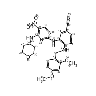 COc1ccc(CNc2ccc(C#N)cc2Nc2ncc([N+](=O)[O-])c(NC3CCOCC3)n2)c(OC)c1